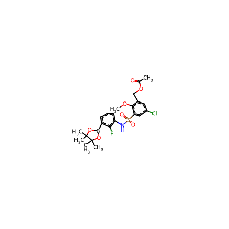 COc1c(COC(C)=O)cc(Cl)cc1S(=O)(=O)Nc1cccc(B2OC(C)(C)C(C)(C)O2)c1F